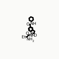 CCC(N)C(=O)NN1C(=O)Cc2cc(C(=O)NC3CCCCC3)ccc21